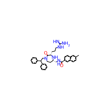 Cc1ccc2cc(C(=O)NC[C@@H]3CCN(CC(c4ccccc4)c4ccccc4)C(=O)[C@H](CCCNC(=N)N)N3)ccc2c1